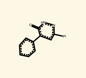 CC(C)c1cc(-c2ccccc2)c(=O)[nH]n1